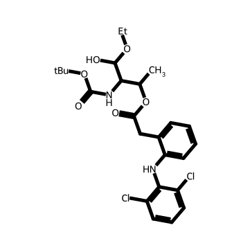 CCOC(O)C(NC(=O)OC(C)(C)C)C(C)OC(=O)Cc1ccccc1Nc1c(Cl)cccc1Cl